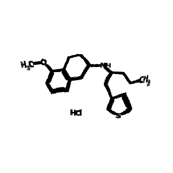 CCCC(Cc1ccsc1)NC1CCc2c(cccc2OC)C1.Cl